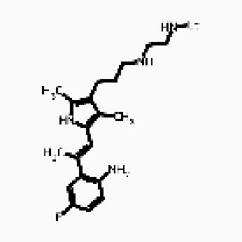 CCNCCNCCCc1c(C)[nH]c(/C=C(\C)c2cc(F)ccc2N)c1C